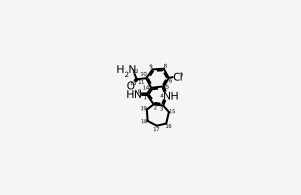 N=c1c2c([nH]c3c(Cl)ccc(C(N)=O)c13)CCCCC2